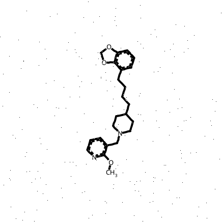 COc1ncccc1CN1CCC(CCCCc2cccc3c2OCO3)CC1